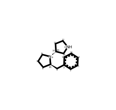 c1ccc(C[C@H]2CCCN2[C@@H]2CCNC2)cc1